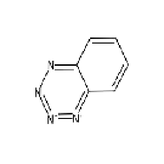 c1ccc2c(c1)=NN=[N+]=[N+]=2